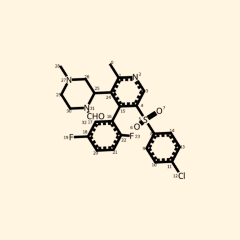 Cc1ncc(S(=O)(=O)c2ccc(Cl)cc2)c(-c2cc(F)ccc2F)c1C1CN(C)CCN1C=O